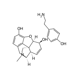 CN1CC[C@]23c4c5ccc(O)c4O[C@H]2[C@@H](O)C=C[C@H]3[C@H]1C5.NCCc1ccc(O)cc1